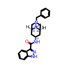 CN1[C@@H]2C[C@@H](NC(=O)c3n[nH]c4ccccc34)C[C@H]1CN(Cc1ccccc1)C2